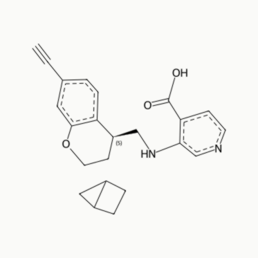 C#Cc1ccc2c(c1)OCC[C@@H]2CNc1cnccc1C(=O)O.C1CC2CC12